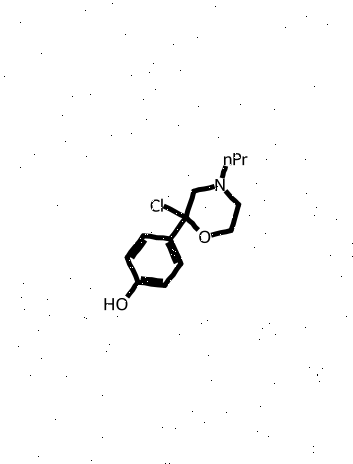 CCCN1CCOC(Cl)(c2ccc(O)cc2)C1